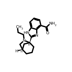 CCCN1C[C@H]2CCC[C@]1(c1nc3c(C(N)=O)cccc3[nH]1)C2